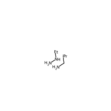 CC(C)CN.CCNN